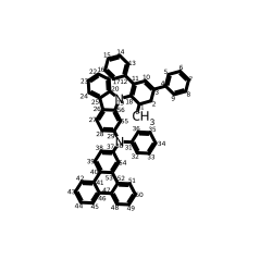 CC1CC(c2ccccc2)=CC(c2ccccc2)=C1n1c2ccccc2c2ccc(N(c3ccccc3)c3ccc4c5ccccc5c5ccccc5c4c3)cc21